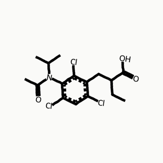 CCC(Cc1c(Cl)cc(Cl)c(N(C(C)=O)C(C)C)c1Cl)C(=O)O